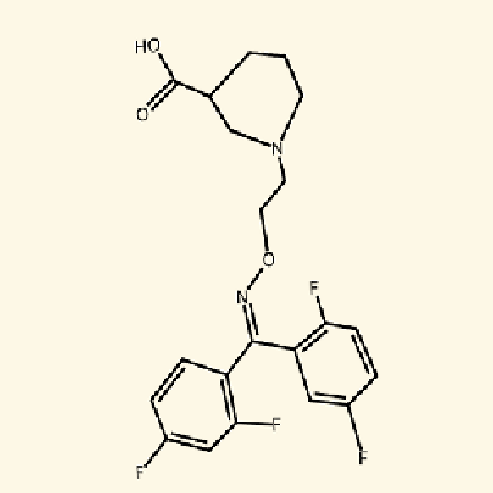 O=C(O)C1CCCN(CCON=C(c2ccc(F)cc2F)c2cc(F)ccc2F)C1